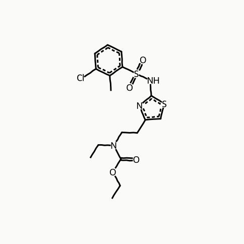 CCOC(=O)N(CC)CCc1csc(NS(=O)(=O)c2cccc(Cl)c2C)n1